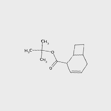 CC(C)(C)OC(=O)C1C=CCC2CCC21